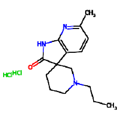 CCCN1CCCC2(C1)C(=O)Nc1nc(C)ccc12.Cl.Cl